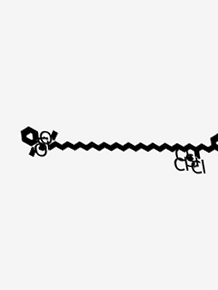 CCO[Si](CCCCCCCCCCCCCCCCCCCCCCCCC(CCc1ccccc1)C[Si](Cl)(Cl)Cl)(OCC)c1ccccc1